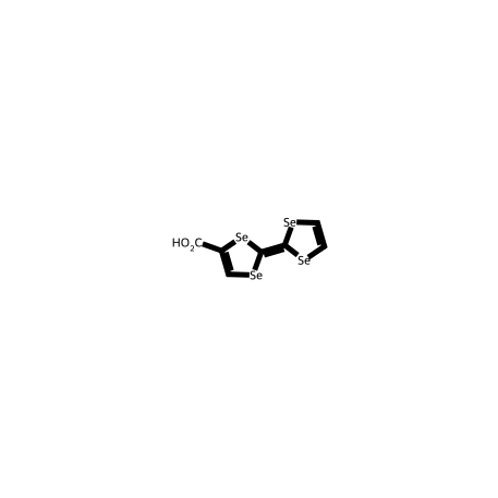 O=C(O)C1=C[Se]C(=C2[Se]C=C[Se]2)[Se]1